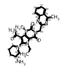 CCn1c(N2CCC[C@@H](N)C2)c(C(N)=O)c2c1c(=O)n(Cc1nc(C)c3ccccc3n1)c(=O)n2C